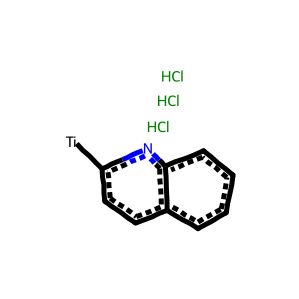 Cl.Cl.Cl.[Ti][c]1ccc2ccccc2n1